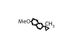 COc1ccc2cc(C3(C)CC3)ccc2c1